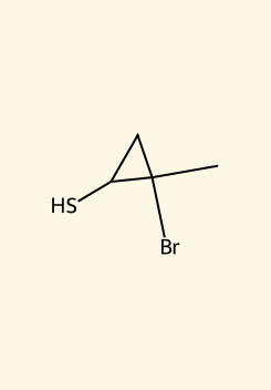 CC1(Br)CC1S